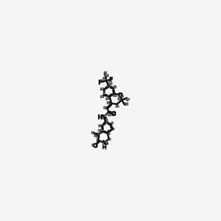 CN1C(=O)NCc2ccc(NC(=O)/C=C3\CC(C)(C)Oc4cc(C(F)(F)F)ccc43)cc21